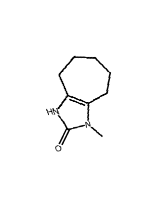 Cn1c2c([nH]c1=O)CCCCC2